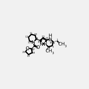 CC[C@@H]1C[C@H](C)n2nc([C@@H]3CCCCN3C(=O)[C@H]3CCCO3)cc2N1